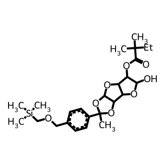 CCC(C)(C)C(=O)OC1C(O)OC2C3OC(C)(c4ccc(COC[Si](C)(C)C)cc4)OC3OC12